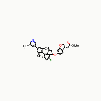 COC(=O)C[C@@H]1COc2cc(O[C@@H]3CCc4c(-c5c(C)cc(-c6cncc(C)c6)cc5C)ccc(F)c43)ccc21